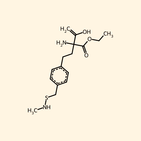 C=C(O)C(N)(CCc1ccc(CSNC)cc1)C(=O)OCC